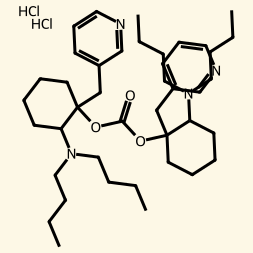 CCCCN(CCCC)C1CCCCC1(Cc1cccnc1)OC(=O)OC1(Cc2cccnc2)CCCCC1N(CCCC)CCCC.Cl.Cl